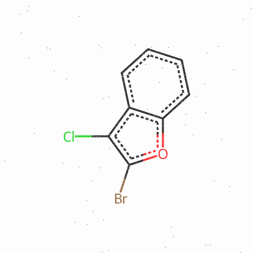 Clc1c(Br)oc2ccccc12